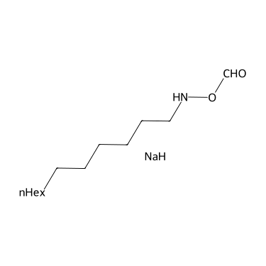 CCCCCCCCCCCCNOC=O.[NaH]